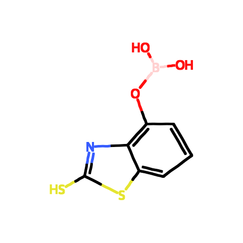 OB(O)Oc1cccc2sc(S)nc12